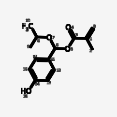 C=C(C)C(=O)OC(OC(C)C(F)(F)F)c1ccc(O)cc1